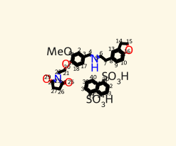 COc1cc(CNCCc2ccc3c(c2)CCO3)ccc1OCCN1C(=O)CCC1=O.O=S(=O)(O)c1cccc2c(S(=O)(=O)O)cccc12